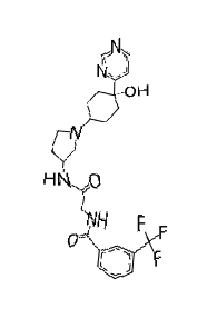 O=C(CNC(=O)c1cccc(C(F)(F)F)c1)NC1CCN(C2CCC(O)(c3ccncn3)CC2)C1